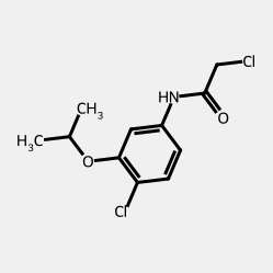 CC(C)Oc1cc(NC(=O)CCl)ccc1Cl